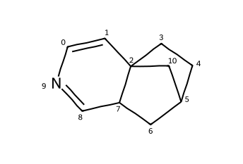 C1=CC23CCC(CC2C=N1)C3